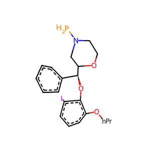 CCCOc1cccc(I)c1O[C@@H](c1ccccc1)C1CN(P)CCO1